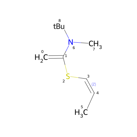 C=C(S/C=C\C)N(C)C(C)(C)C